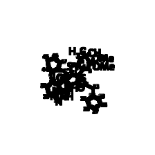 COC1(OC)C=C2C(=CC1(C)C)SC(C(=O)Nc1nnn[nH]1)C2(SCCc1ccccc1)C(=O)c1sc2ccccc2c1Sc1ccccc1